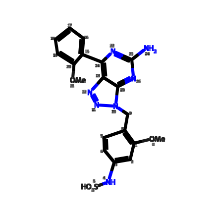 COc1cc(NS(=O)(=O)O)ccc1Cn1nnc2c(-c3ccccc3OC)nc(N)nc21